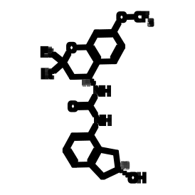 CCC1(CC)C[C@@H](NC(=O)Nc2cccc3c2C[C@H](O)C3)c2ccc(OC(F)(F)F)cc2O1